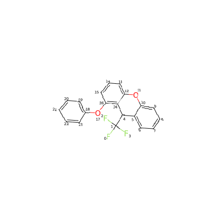 FC(F)(F)C1c2ccccc2Oc2cccc(Oc3ccccc3)c21